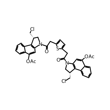 CC(=O)Oc1cc2c(c3ccccc13)[C@H](CCl)CN2C(=O)Cc1ccc(CC(=O)N2C[C@@H](CCl)c3c2cc(OC(C)=O)c2ccccc32)s1